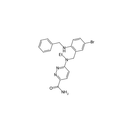 CCN(Cc1cc(Br)ccc1NCc1ccccc1)c1ccc(C(N)=O)nn1